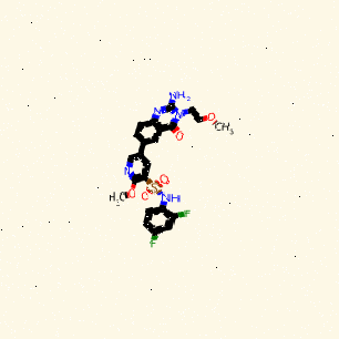 COCCn1c(N)nc2ccc(-c3cnc(OC)c(S(=O)(=O)Nc4ccc(F)cc4F)c3)cc2c1=O